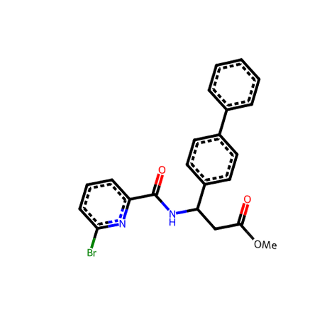 COC(=O)CC(NC(=O)c1cccc(Br)n1)c1ccc(-c2ccccc2)cc1